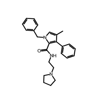 Cc1cn(Cc2ccccc2)c(C(=O)NCCN2CCCC2)c1-c1ccccc1